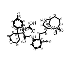 O=C(O)NC(C(=O)Nc1cccc(F)c1CC[C@H]1CNC2CCCS(=O)(=O)N1C2)C1(c2ccc(Cl)cc2)CCOCC1